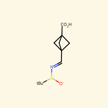 CC(C)(C)[S+]([O-])N=CC12CC(C(=O)O)(C1)C2